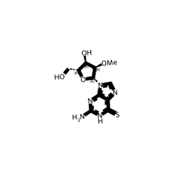 CO[C@@H]1[C@H](O)[C@@H](CO)O[C@H]1n1cnc2c(=S)[nH]c(N)nc21